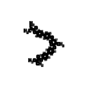 C=C(C)C(=O)Oc1ccc(-c2ccc(OC(=O)CC(C)C(=O)Oc3ccc(-c4ccc(OC(=O)C(=C)C)cc4)cc3)cc2)cc1